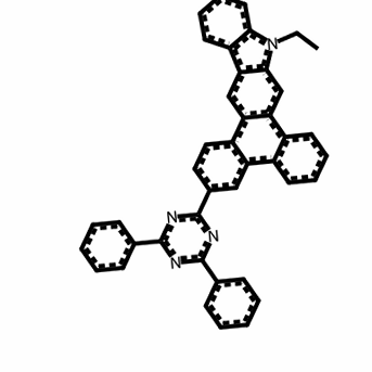 CCn1c2ccccc2c2cc3c4ccc(-c5nc(-c6ccccc6)nc(-c6ccccc6)n5)cc4c4ccccc4c3cc21